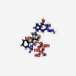 CNc1ccccc1C(=O)[C@]1(O)C[C@H](n2cnc3c(=O)[nH]c(N)nc32)O[C@@H]1COP(=O)(O)OP(=O)(O)O